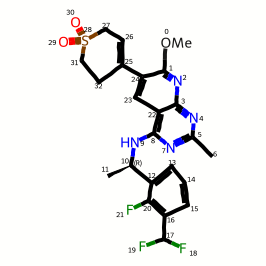 COc1nc2nc(C)nc(N[C@H](C)c3cccc(C(F)F)c3F)c2cc1C1=CCS(=O)(=O)CC1